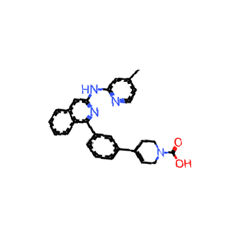 Cc1ccnc(Nc2cc3ccccc3c(-c3cccc(C4=CCN(C(=O)O)CC4)c3)n2)c1